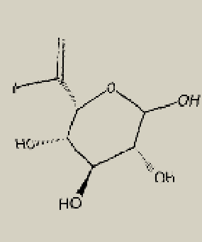 C=C(I)[C@@H]1OC(O)[C@H](O)[C@@H](O)[C@@H]1O